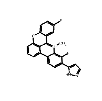 C[n+]1c2c3c(cccc3c3ccc(-c4ccn[nH]4)c(F)c31)Oc1ccc(F)cc1-2